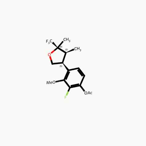 COc1c([C@H]2CO[C@@](C)(C(F)(F)F)[C@H]2C)ccc(OC(C)=O)c1F